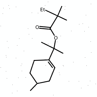 CCC(C)(C)C(=O)OC(C)(C)C1=CCC(C)CC1